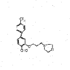 O=Cc1ccc(-c2ccc(C(F)(F)F)cc2)cc1OCCCN1CCOCC1